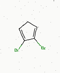 BrC1=[C]CC=C1Br